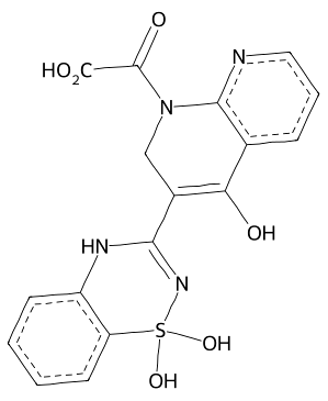 O=C(O)C(=O)N1CC(C2=NS(O)(O)c3ccccc3N2)=C(O)c2cccnc21